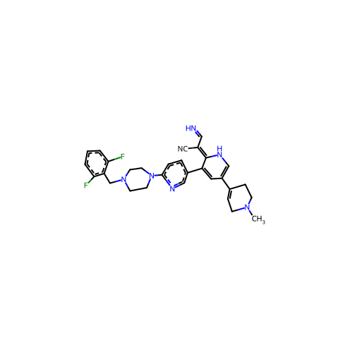 CN1CC=C(C2=CN/C(=C(/C#N)C=N)C(c3ccc(N4CCN(Cc5c(F)cccc5F)CC4)nc3)=C2)CC1